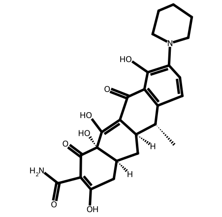 C[C@H]1c2ccc(N3CCCCC3)c(O)c2C(=O)C2=C(O)[C@]3(O)C(=O)C(C(N)=O)=C(O)C[C@@H]3C[C@@H]21